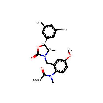 COC(=O)N(C)c1ccc(OC(F)(F)F)cc1CN1C(=O)O[C@H](c2cc(C(F)(F)F)cc(C(F)(F)F)c2)[C@@H]1C